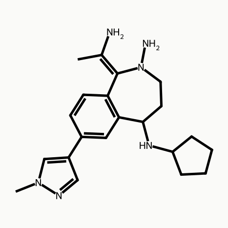 C/C(N)=C1\c2ccc(-c3cnn(C)c3)cc2C(NC2CCCC2)CCN1N